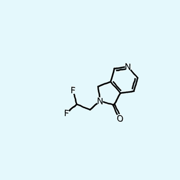 O=C1c2ccncc2CN1CC(F)F